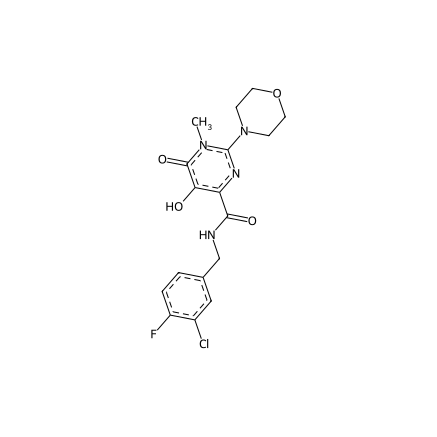 Cn1c(N2CCOCC2)nc(C(=O)NCc2ccc(F)c(Cl)c2)c(O)c1=O